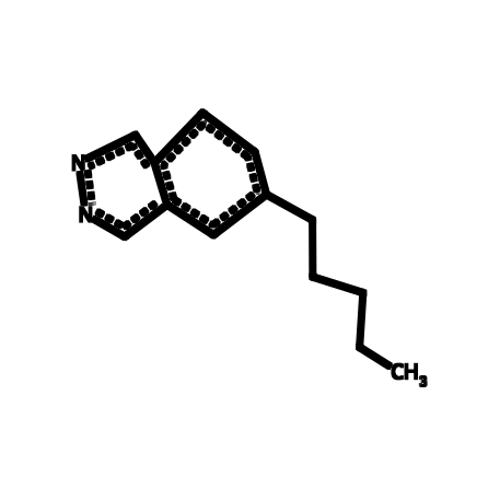 CCCCCc1ccc2cnncc2c1